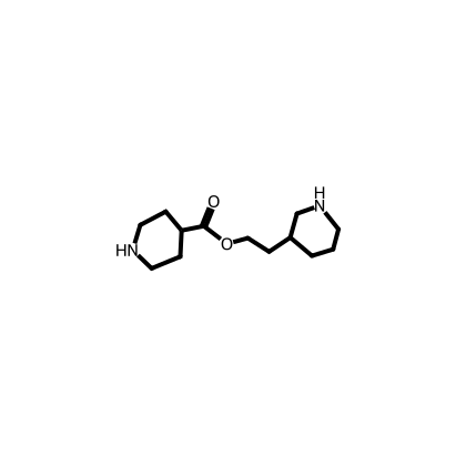 O=C(OCCC1CCCNC1)C1CCNCC1